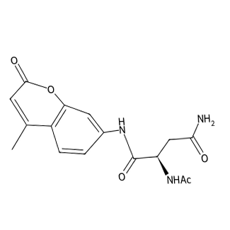 CC(=O)N[C@H](CC(N)=O)C(=O)Nc1ccc2c(C)cc(=O)oc2c1